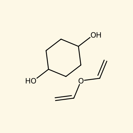 C=COC=C.OC1CCC(O)CC1